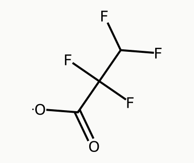 [O]C(=O)C(F)(F)C(F)F